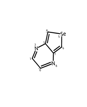 [c]1cnc2[c][se]cc2n1